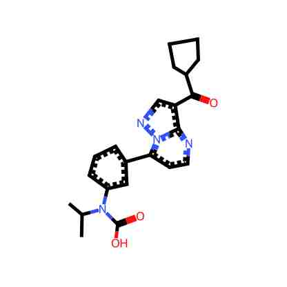 CC(C)N(C(=O)O)c1cccc(-c2ccnc3c(C(=O)C4CCCC4)cnn23)c1